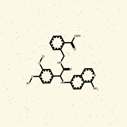 CCOc1cc(C(Nc2ccc3c(N)nccc3c2)C(=O)NCc2ccccc2C(=O)OC)ccc1OC(C)C